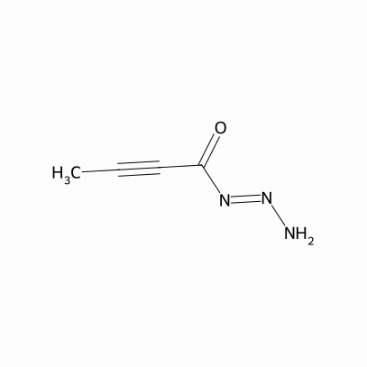 CC#CC(=O)N=NN